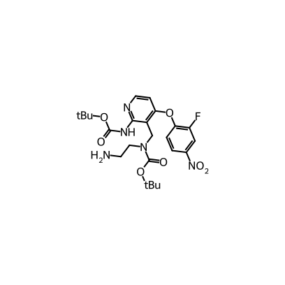 CC(C)(C)OC(=O)Nc1nccc(Oc2ccc([N+](=O)[O-])cc2F)c1CN(CCN)C(=O)OC(C)(C)C